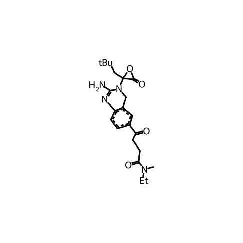 CCN(C)C(=O)CCC(=O)c1ccc2c(c1)CN(C1(CC(C)(C)C)OC1=O)C(N)=N2